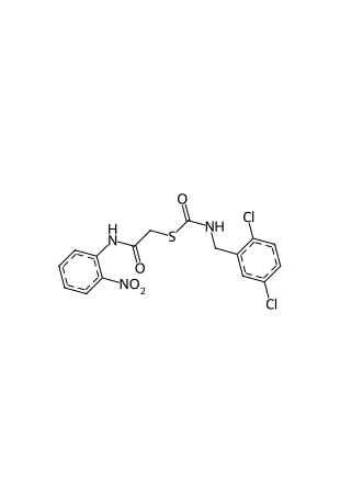 O=C(CSC(=O)NCc1cc(Cl)ccc1Cl)Nc1ccccc1[N+](=O)[O-]